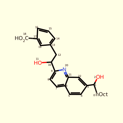 CCCCCCCCC(O)c1ccc2ccc(C(O)Cc3cccc(C(=O)O)c3)nc2c1